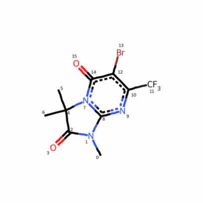 CN1C(=O)C(C)(C)n2c1nc(C(F)(F)F)c(Br)c2=O